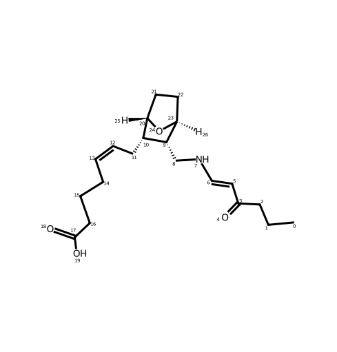 CCCC(=O)/C=C/NC[C@@H]1[C@H](C/C=C\CCCC(=O)O)[C@@H]2CC[C@@H]1O2